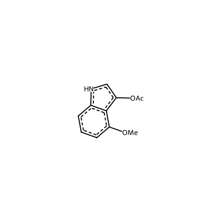 COc1cccc2[nH]cc(OC(C)=O)c12